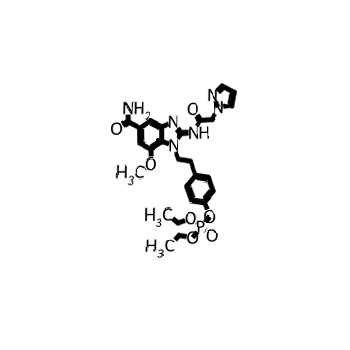 CCOP(=O)(OCC)Oc1ccc(CCn2c(NC(=O)Cn3cccn3)nc3cc(C(N)=O)cc(OC)c32)cc1